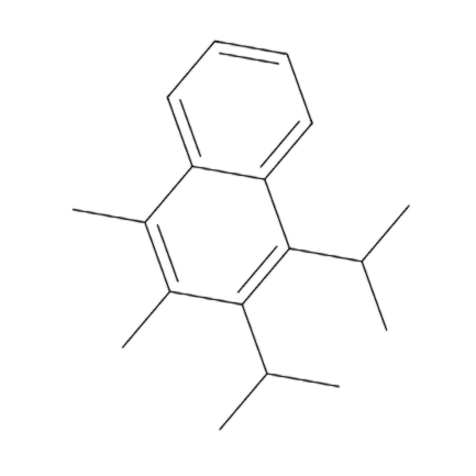 Cc1c(C(C)C)c(C(C)C)c2ccccc2c1C